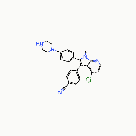 Cn1c(-c2ccc(N3CCNCC3)cc2)c(-c2ccc(C#N)cc2)c2c(Cl)ccnc21